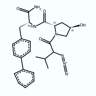 CC(C)C(N=[N+]=[N-])C(=O)N1C[C@H](O)C[C@H]1C(=O)N[C@H](Cc1ccc(-c2ccccc2)cc1)C(N)=O